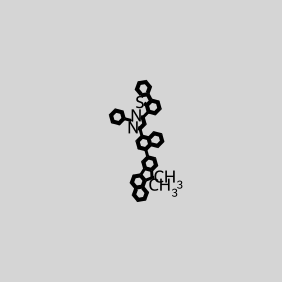 CC1(C)c2ccc(-c3ccc(-c4cc(-c5cccc6c5sc5ccccc56)nc(-c5ccccc5)n4)c4ccccc34)cc2-c2ccc3ccccc3c21